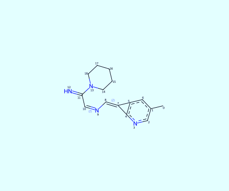 Cc1cnc2c(c1)/C2=C/N=C\C(=N)N1CCCCC1